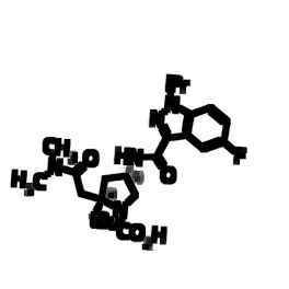 CC(C)n1nc(C(=O)N[C@@H]2CN(C(=O)O)[C@@](CC(=O)N(C)C)(C(C)(C)C)C2)c2cc(F)ccc21